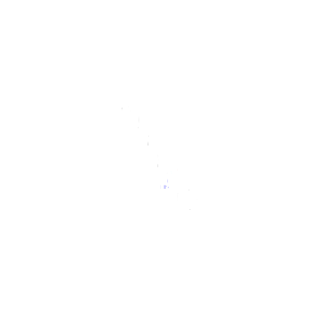 CCCCCCCC(=O)NC1CCCC1